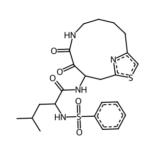 CC(C)CC(NS(=O)(=O)c1ccccc1)C(=O)NC1Cc2nc(cs2)CCCCNC(=O)C1=O